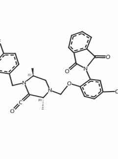 C[C@@H]1C(=C=O)N(Cc2ccc(F)cc2)[C@@H](C)CN1COc1ccc(Cl)cc1N1C(=O)c2ccccc2C1=O